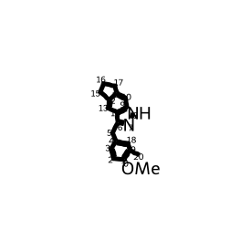 COc1ccc(Cc2n[nH]c3cc4c(cc23)CCC4)cc1C